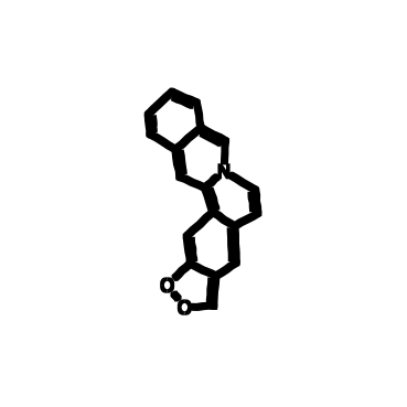 C1=CN2C=c3ccccc3=CC2=c2cc3c(cc21)=COO3